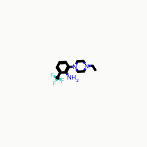 CCN1CCN(c2cccc(C(F)(F)F)c2N)CC1